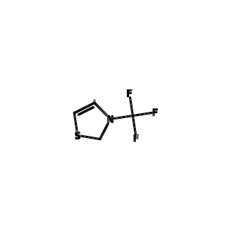 FC(F)(F)N1[C]=CSC1